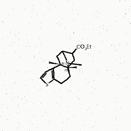 CCOC(=O)C1C[C@]2(C)C3Cc4sccc4[C@]2(C)CC1N3C